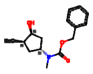 CO[C@@H]1C[C@@H](N(C)C(=O)OCc2ccccc2)C[C@@H]1O